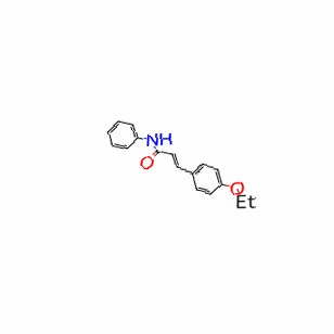 CCOc1ccc(C=CC(=O)Nc2ccccc2)cc1